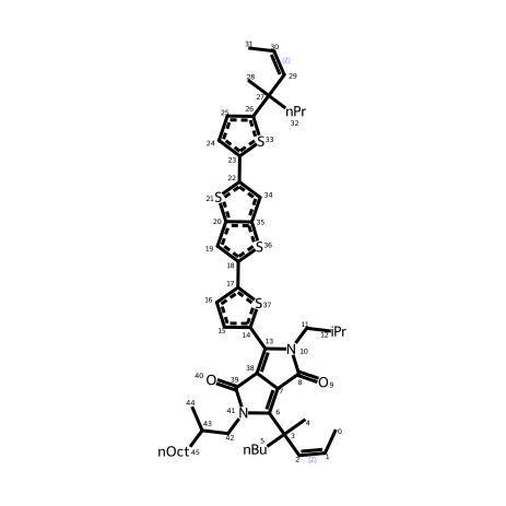 C/C=C\C(C)(CCCC)C1=C2C(=O)N(CC(C)C)C(c3ccc(-c4cc5sc(-c6ccc(C(C)(/C=C\C)CCC)s6)cc5s4)s3)=C2C(=O)N1CC(C)CCCCCCCC